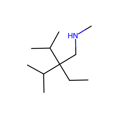 CCC(CNC)(C(C)C)C(C)C